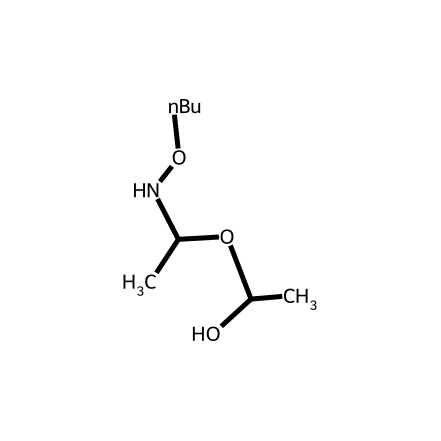 CCCCONC(C)OC(C)O